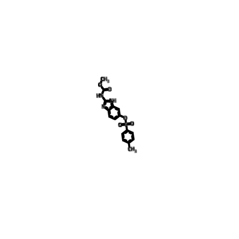 COC(=O)Nc1nc2ccc(OS(=O)(=O)c3ccc(C)cc3)cc2[nH]1